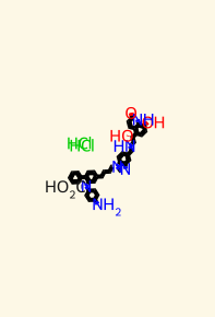 Cl.Cl.NC1CCC(N(C(=O)O)c2cc(CCCCn3cnc4cc(CNC[C@H](O)c5ccc(O)c6[nH]c(=O)ccc56)ccc43)ccc2-c2ccccc2)CC1